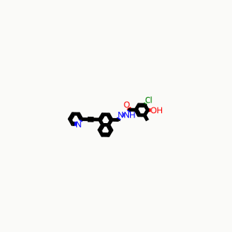 CC1C=C(C(=O)N/N=C/c2ccc(C#Cc3ccccn3)c3ccccc23)C=C(Cl)C1O